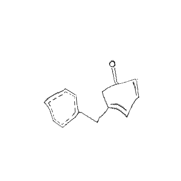 O=C1[C]=CC=C(Cc2ccccc2)C1